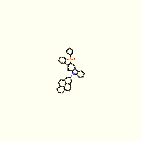 O=P1(c2ccccc2)c2ccccc2-c2cc3c(cc21)c1ccccc1n3-c1cc2ccc3cccc4ccc(c1)c2c34